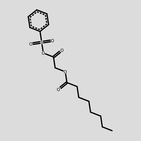 CCCCCCCC(=O)OCC(=O)OS(=O)(=O)c1ccccc1